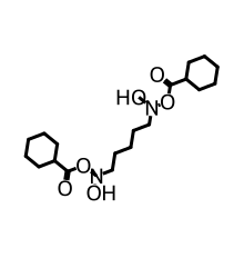 O=C(ON(O)CCCCCN(O)OC(=O)C1CCCCC1)C1CCCCC1